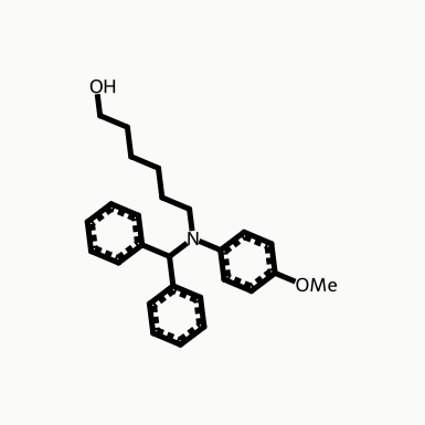 COc1ccc(N(CCCCCCO)C(c2ccccc2)c2ccccc2)cc1